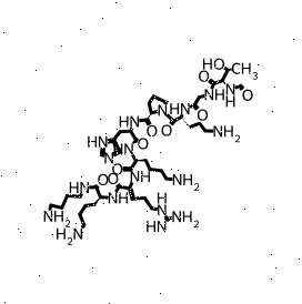 C[C@H](O)[C@H](NC=O)C(=O)NCC(=O)N[C@H](CCCN)C(=O)N1CCC[C@H]1C(=O)NC(Cc1cnc[nH]1)C(=O)N[C@@H](CCCCN)C(=O)N/C(=C\CCNC(=N)N)C(=O)N[C@@H](CCCCN)C(=O)NCCCCN